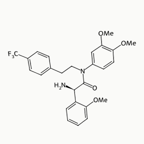 COc1ccc(N(CCc2ccc(C(F)(F)F)cc2)C(=O)[C@H](N)c2ccccc2OC)cc1OC